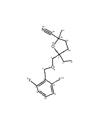 CCC1(COCc2c(F)cccc2F)CCC(C)(C#N)O1